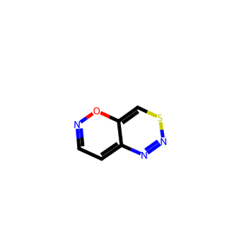 C1=NOC2=CSN=NC2=C1